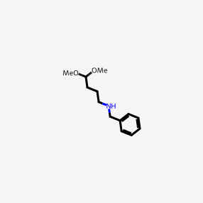 COC(CCCNCc1ccccc1)OC